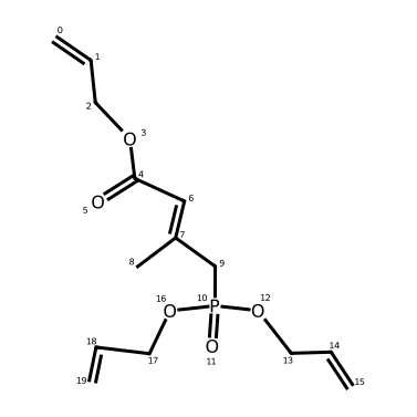 C=CCOC(=O)/C=C(\C)CP(=O)(OCC=C)OCC=C